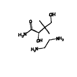 CC(C)(CO)C(O)C(N)=O.NCCN